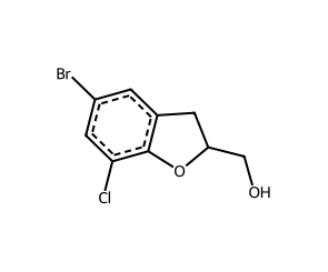 OCC1Cc2cc(Br)cc(Cl)c2O1